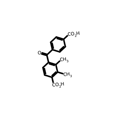 Cc1c(C(=O)O)ccc(C(=O)c2ccc(C(=O)O)cc2)c1C